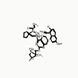 C#Cc1c(F)ccc2cc(O)cc([C@H]3COc4c(nc(OC[C@]5(C)C[C@@H](F)CN5C)nc4NCC4(N(C)C(=O)C=C)CCCC4)C3)c12